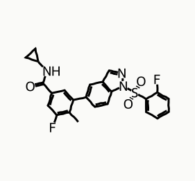 Cc1c(F)cc(C(=O)NC2CC2)cc1-c1ccc2c(cnn2S(=O)(=O)c2ccccc2F)c1